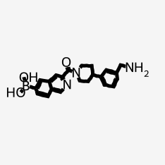 NCc1cccc(C2CCN(C(=O)c3cc4cc(B(O)O)ccc4cn3)CC2)c1